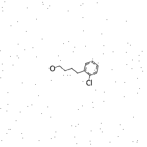 [O]CCCCc1ccccc1Cl